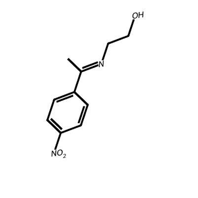 C/C(=N\CCO)c1ccc([N+](=O)[O-])cc1